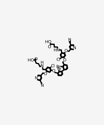 N#Cc1cncc(COc2cc(OCc3cccc(-c4cccc(COc5cc(OCc6cncc(C#N)c6)c(CNCCCC(=O)O)cc5Cl)c4Br)c3Br)c(Cl)cc2CNCCCC(=O)O)c1